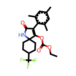 CCOC(=O)OC1=C(c2c(C)cc(C)cc2C)C(=O)NC12CCC(C(F)(F)F)CC2